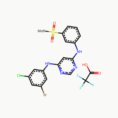 CNS(=O)(=O)c1cccc(Nc2cc(Nc3cc(Cl)cc(Br)c3)ncn2)c1.O=C(O)C(F)(F)F